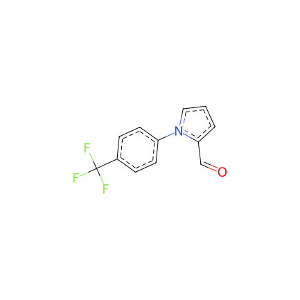 O=Cc1cccn1-c1ccc(C(F)(F)F)cc1